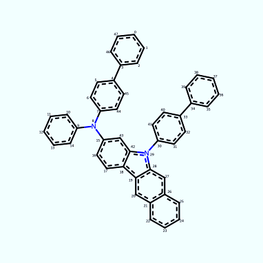 c1ccc(-c2ccc(N(c3ccccc3)c3ccc4c5cc6ccccc6cc5n(-c5ccc(-c6ccccc6)cc5)c4c3)cc2)cc1